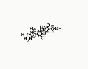 C=C1NC(=O)N(c2cc(Cl)c(Oc3cc(C4CC(O)C4)c(=O)[nH]n3)c(Cl)c2)N=C1N